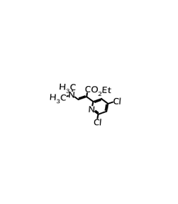 CCOC(=O)/C(=C\N(C)C)c1cc(Cl)cc(Cl)n1